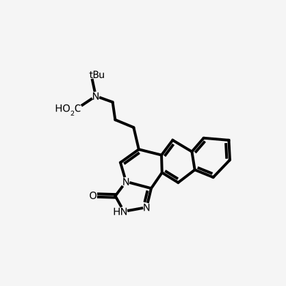 CC(C)(C)N(CCCc1cn2c(=O)[nH]nc2c2cc3ccccc3cc12)C(=O)O